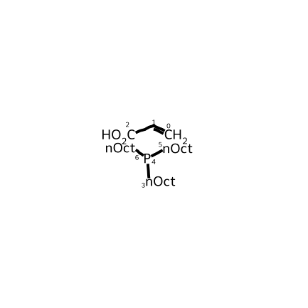 C=CC(=O)O.CCCCCCCCP(CCCCCCCC)CCCCCCCC